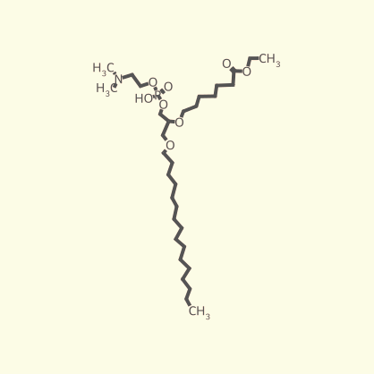 CCCCCCCCCCCCCCCCOCC(COP(=O)(O)OCCN(C)C)OCCCCCCC(=O)OCC